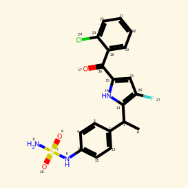 CC(c1ccc(NS(N)(=O)=O)cc1)c1[nH]c(C(=O)c2ccccc2Cl)cc1F